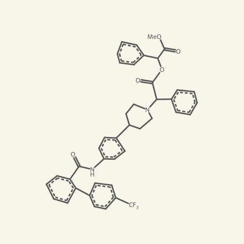 COC(=O)C(OC(=O)C(c1ccccc1)N1CCC(c2ccc(NC(=O)c3ccccc3-c3ccc(C(F)(F)F)cc3)cc2)CC1)c1ccccc1